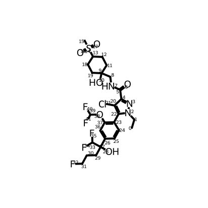 CCn1nc(C(=O)NCC2(O)CCC(S(C)(=O)=O)CC2)c(Cl)c1-c1ccc(C(O)(CCCF)C(F)F)cc1OC(F)F